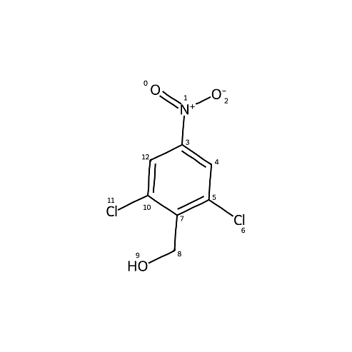 O=[N+]([O-])c1cc(Cl)c(CO)c(Cl)c1